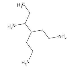 CCC(N)C(CCN)CCN